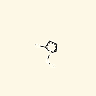 CCCCOn1cccc1C#N